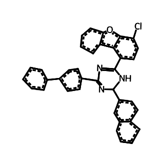 Clc1ccc(C2=NC(c3ccc(-c4ccccc4)cc3)=NC(c3ccc4ccccc4c3)N2)c2c1oc1ccccc12